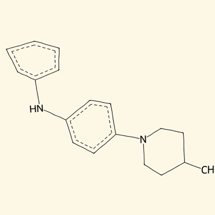 CC1CCN(c2ccc(Nc3ccccc3)cc2)CC1